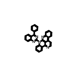 c1ccc(-c2nc(N3c4ccccc4-c4nccc5c4c3nc3ccccc35)nc3ccccc23)cc1